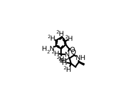 [2H]c1c([2H])c(N)c2c(c1[2H])C(=O)N([C@]1([2H])C(=O)NC(=C)CC1([2H])[2H])C2([2H])[2H]